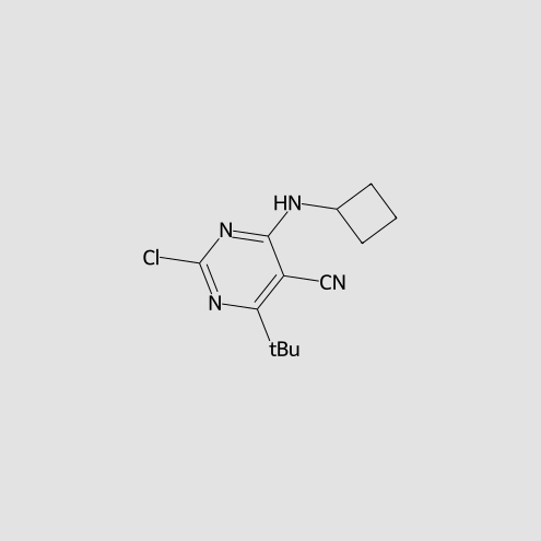 CC(C)(C)c1nc(Cl)nc(NC2CCC2)c1C#N